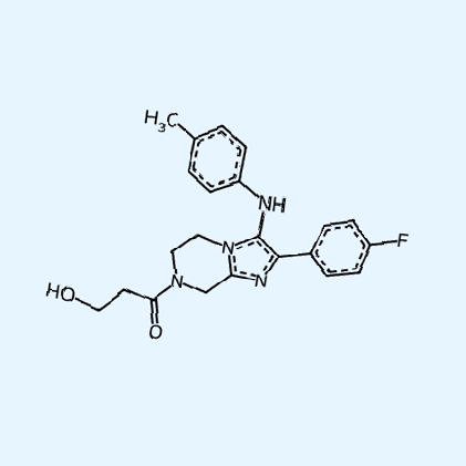 Cc1ccc(Nc2c(-c3ccc(F)cc3)nc3n2CCN(C(=O)CCO)C3)cc1